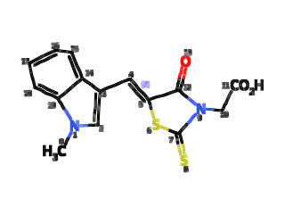 Cn1cc(/C=C2\SC(=S)N(CC(=O)O)C2=O)c2ccccc21